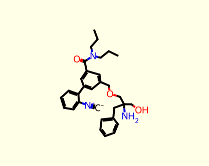 [C-]#[N+]c1ccccc1-c1cc(COCC(N)(CO)Cc2ccccc2)cc(C(=O)N(CCC)CCC)c1